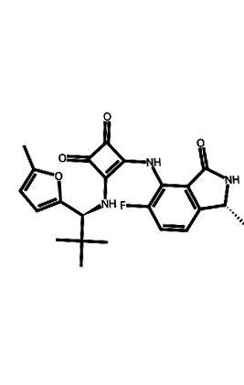 Cc1ccc([C@@H](Nc2c(Nc3c(F)ccc4c3C(=O)N[C@@H]4C)c(=O)c2=O)C(C)(C)C)o1